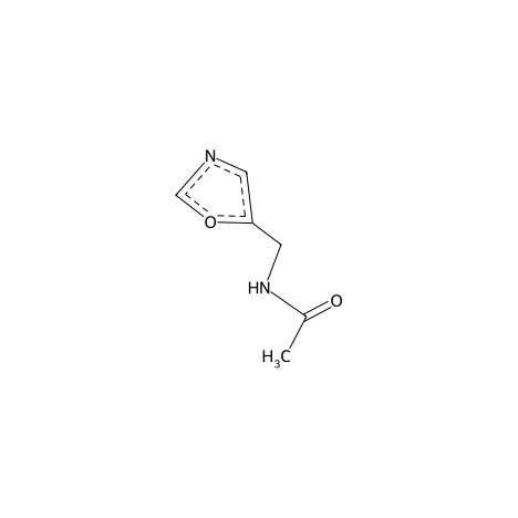 CC(=O)NCc1cnco1